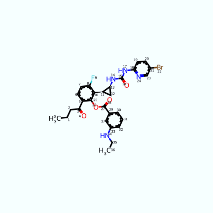 CCCC(=O)c1ccc(F)c([C@@H]2C[C@@H]2NC(=O)Nc2ccc(Br)cn2)c1OC(=O)c1cccc(NCC)c1